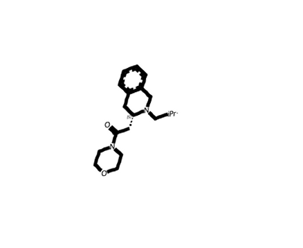 C[C](C)CN1Cc2ccccc2C[C@H]1CC(=O)N1CCOCC1